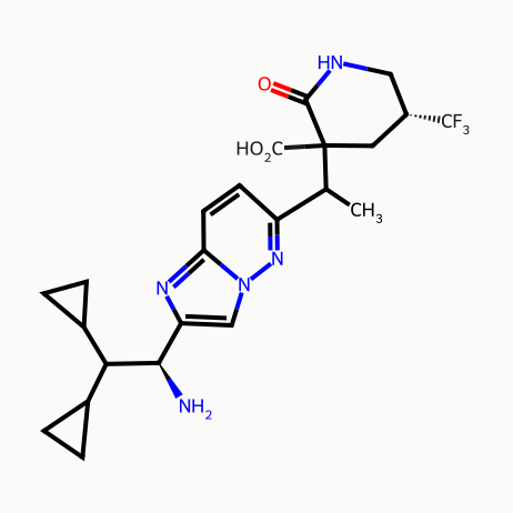 CC(c1ccc2nc([C@@H](N)C(C3CC3)C3CC3)cn2n1)C1(C(=O)O)C[C@@H](C(F)(F)F)CNC1=O